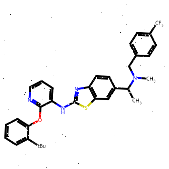 CC(c1ccc2nc(Nc3cccnc3Oc3ccccc3C(C)(C)C)sc2c1)N(C)Cc1ccc(C(F)(F)F)cc1